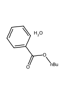 CCCCOC(=O)c1ccccc1.O